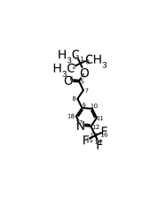 CC(C)(C)OC(=O)CCc1ccc(C(F)(F)F)nc1